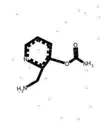 NCc1ncccc1OC(N)=O